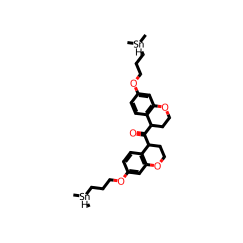 [CH3][SnH]([CH3])[CH2]CCOc1ccc2c(c1)OCCC2C(=O)C1CCOc2cc(OCC[CH2][SnH]([CH3])[CH3])ccc21